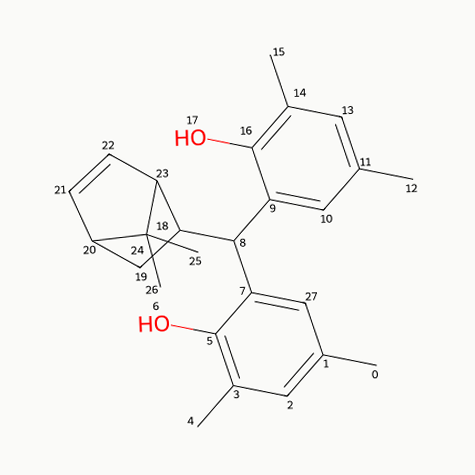 Cc1cc(C)c(O)c(C(c2cc(C)cc(C)c2O)C2CC3C=CC2C3(C)C)c1